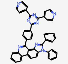 c1ccc(-c2nc3c4c(-c5ccc(-c6nc(-c7ccncc7)nc(-c7ccncc7)n6)cc5)nc5ccccc5c4ccc3n2-c2ccccc2)cc1